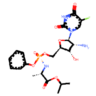 CC(C)OC(=O)[C@H](C)N[P@](=O)(OC[C@H]1O[C@@H](n2cc(F)c(=O)[nH]c2=O)[C@H](N)[C@@H]1O)Oc1ccccc1